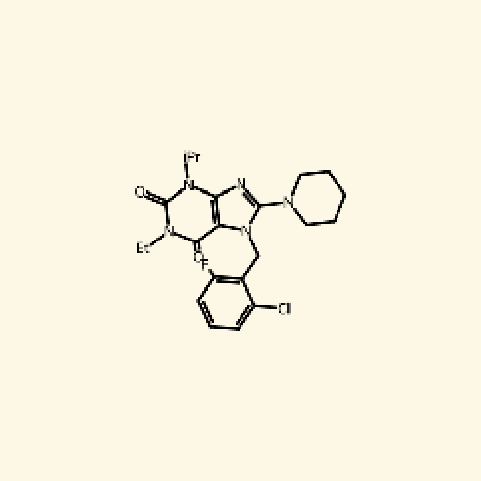 CCn1c(=O)c2c(nc(N3CCCCC3)n2Cc2c(F)cccc2Cl)n(C(C)C)c1=O